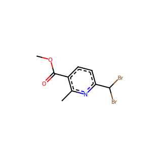 COC(=O)c1ccc(C(Br)Br)nc1C